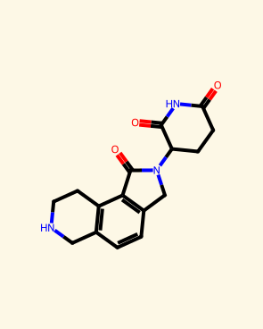 O=C1CCC(N2Cc3ccc4c(c3C2=O)CCNC4)C(=O)N1